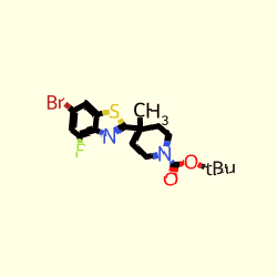 CC(C)(C)OC(=O)N1CCC(C)(c2nc3c(F)cc(Br)cc3s2)CC1